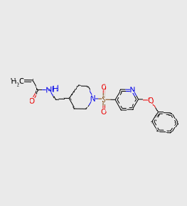 C=CC(=O)NCC1CCN(S(=O)(=O)c2ccc(Oc3ccccc3)nc2)CC1